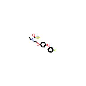 CCN(CCOc1ccc(Oc2cccc(F)c2)cc1)C(=O)S